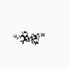 CC(C)c1nn([C@@H]2O[C@H](CO)[C@H]3OC(C)(C)O[C@H]32)c2ncnc(N)c12